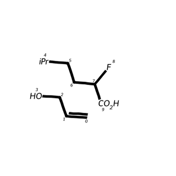 C=CCO.CC(C)CCC(F)C(=O)O